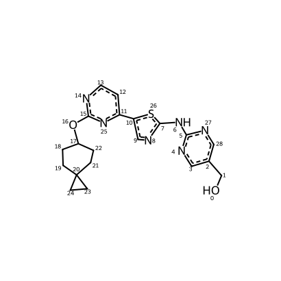 OCc1cnc(Nc2ncc(-c3ccnc(OC4CCC5(CC4)CC5)n3)s2)nc1